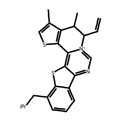 C=CC1C(C)c2c(C)csc2-c2c3sc4c(CC(C)C)cccc4c3nc[n+]21